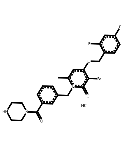 Cc1cc(OCc2ccc(F)cc2F)c(Br)c(=O)n1Cc1cccc(C(=O)N2CCNCC2)c1.Cl